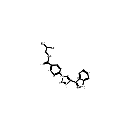 CCC(O)CNC(=O)c1ccc(-n2cc(-c3n[nH]c4ccccc34)nn2)cc1